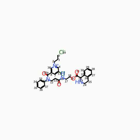 CCC[n+]1cc(Cl)cc(C(=O)N(CCC(=O)NCCOC(=O)C2NCCc3ccccc32)c2ccccc2)c1.[Cl-]